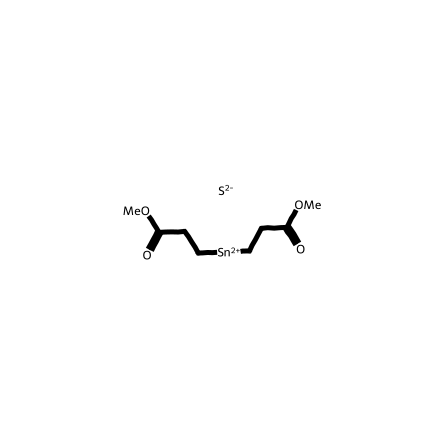 COC(=O)C[CH2][Sn+2][CH2]CC(=O)OC.[S-2]